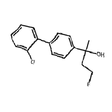 CC(O)(CCF)c1ccc(-c2ccccc2Cl)cc1